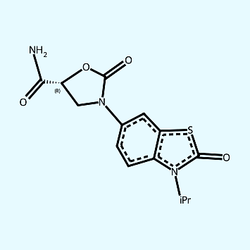 CC(C)n1c(=O)sc2cc(N3C[C@H](C(N)=O)OC3=O)ccc21